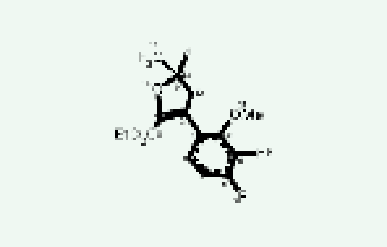 CCOC(=O)C1=C(c2ccc(F)c(F)c2OC)C[C@](C)(C(F)(F)F)O1